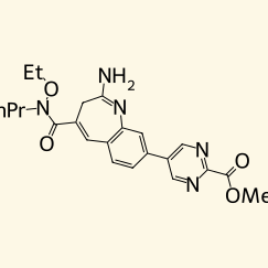 CCCN(OCC)C(=O)C1=Cc2ccc(-c3cnc(C(=O)OC)nc3)cc2N=C(N)C1